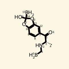 BCN[C@@H](C)C(=O)c1ccc2c(c1)OC(B)(O)O2